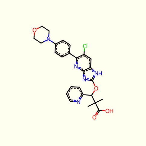 CC(C)(C(=O)O)C(Oc1nc2nc(-c3ccc(N4CCOCC4)cc3)c(Cl)cc2[nH]1)c1ccccn1